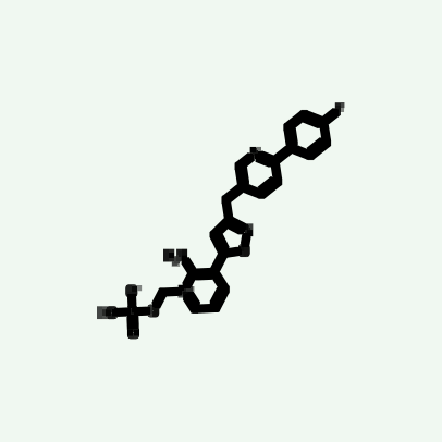 Nc1c(-c2cc(Cc3ccc(-c4ccc(F)cc4)nc3)no2)ccc[n+]1COP(=O)([O-])O